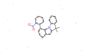 CC1(C)c2ccccc2-n2c1cc1cccc(-c3ccccc3[N+](=O)[O-])c12